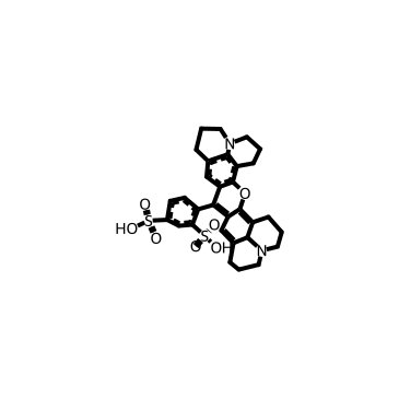 O=S(=O)(O)c1ccc(C2=C3C=C4CCCN5CCCC(=C3Oc3c2cc2c6c3CCCN6CCC2)C45)c(S(=O)(=O)O)c1